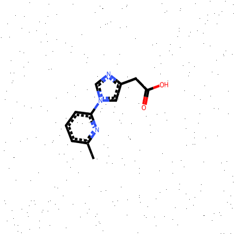 Cc1cccc(-n2cnc(CC(=O)O)c2)n1